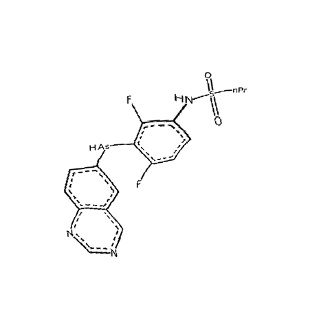 CCCS(=O)(=O)Nc1ccc(F)c([AsH]c2ccc3ncncc3c2)c1F